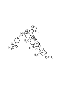 C=C(C)[C@@H]1CC[C@]2(NCCN3CCC(S(C)(=O)=O)CC3)CC[C@]3(C)[C@H](CC[C@@H]4[C@@]5(C)CC=C(CCC(C)(C)CC(=O)OC)C(C)(C)[C@@H]5CC[C@]43C)[C@@H]12